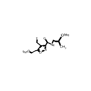 COCc1onc(C(=O)NCC(C)OC)c1CF